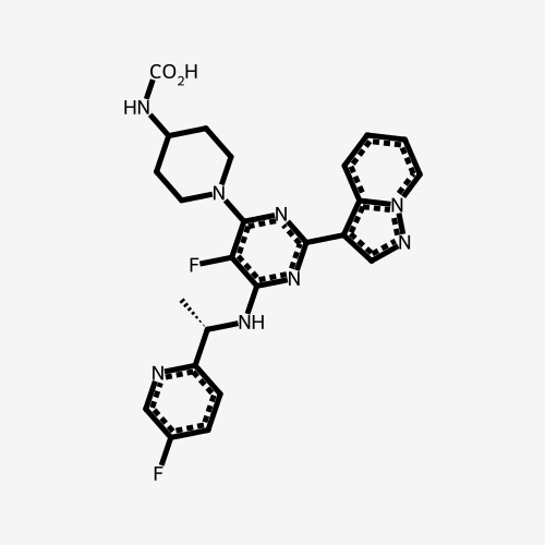 C[C@H](Nc1nc(-c2cnn3ccccc23)nc(N2CCC(NC(=O)O)CC2)c1F)c1ccc(F)cn1